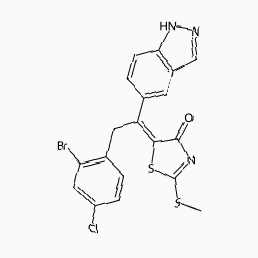 CSC1=NC(=O)C(=C(Cc2ccc(Cl)cc2Br)c2ccc3[nH]ncc3c2)S1